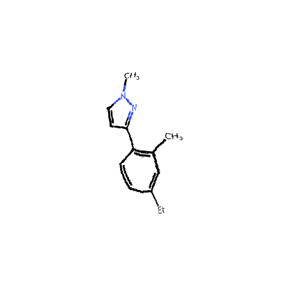 CCc1ccc(-c2ccn(C)n2)c(C)c1